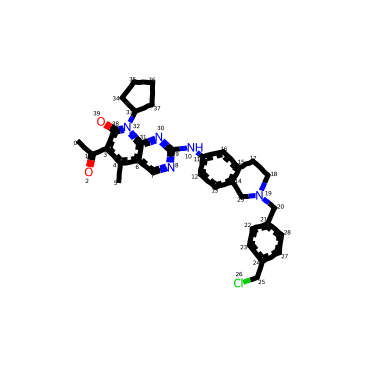 CC(=O)c1c(C)c2cnc(Nc3ccc4c(c3)CCN(Cc3ccc(CCl)cc3)C4)nc2n(C2CCCC2)c1=O